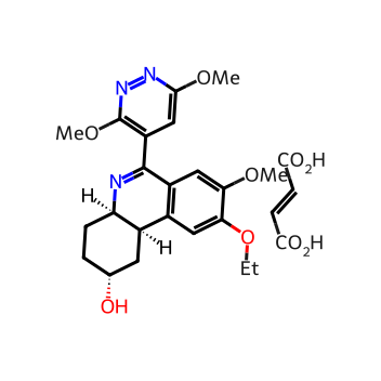 CCOc1cc2c(cc1OC)C(c1cc(OC)nnc1OC)=N[C@@H]1CC[C@@H](O)C[C@H]21.O=C(O)C=CC(=O)O